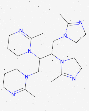 CC1=NCCCN1CC(C(CN1CCN=C1C)N1CCN=C1C)N1CCCN=C1C